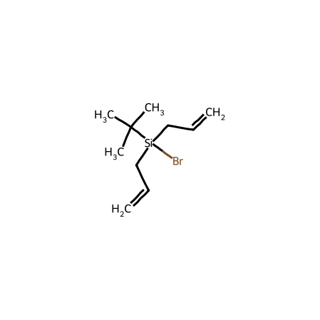 C=CC[Si](Br)(CC=C)C(C)(C)C